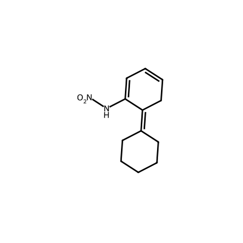 O=[N+]([O-])NC1=CC=CCC1=C1CCCCC1